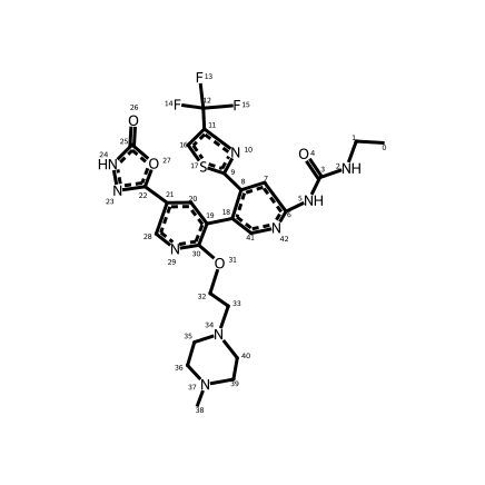 CCNC(=O)Nc1cc(-c2nc(C(F)(F)F)cs2)c(-c2cc(-c3n[nH]c(=O)o3)cnc2OCCN2CCN(C)CC2)cn1